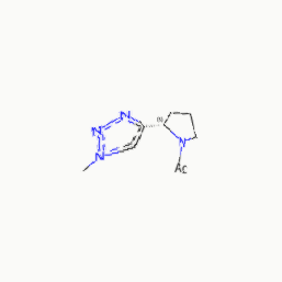 CC(=O)N1CCC[C@H]1c1cn(C)nn1